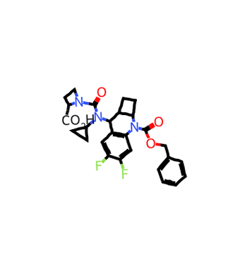 O=C(O)C1CCN1C(=O)N(C1CC1)C1c2cc(F)c(F)cc2N(C(=O)OCc2ccccc2)C2CCC21